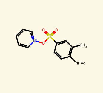 CC(=O)Nc1ccc(S(=O)(=O)O[n+]2ccccc2)cc1C